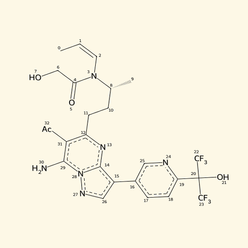 C/C=C\N(C(=O)CO)[C@H](C)CCc1nc2c(-c3ccc(C(O)(C(F)(F)F)C(F)(F)F)nc3)cnn2c(N)c1C(C)=O